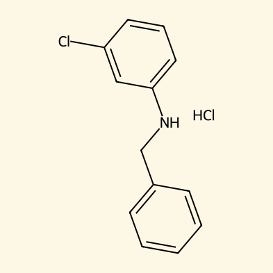 Cl.Clc1cccc(NCc2ccccc2)c1